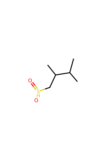 CC(C)C(C)C[SH](=O)=O